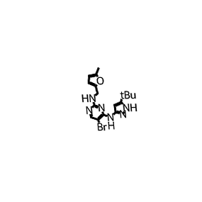 Cc1ccc(CNc2ncc(Br)c(Nc3cc(C(C)(C)C)[nH]n3)n2)o1